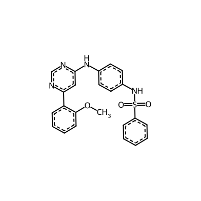 COc1ccccc1-c1cc(Nc2ccc(NS(=O)(=O)c3ccccc3)cc2)ncn1